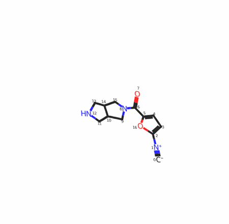 [C-]#[N+]c1ccc(C(=O)N2CC3CNCC3C2)o1